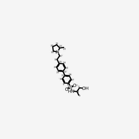 CC(CO)NS(=O)(=O)c1ccc(-c2ccc(CCN3CCCC3C)cc2)cc1